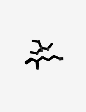 C=CC(=O)OCCO.CO[SiH](OC)OC